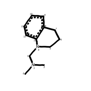 CN(C)CN1CCCc2ccccc21